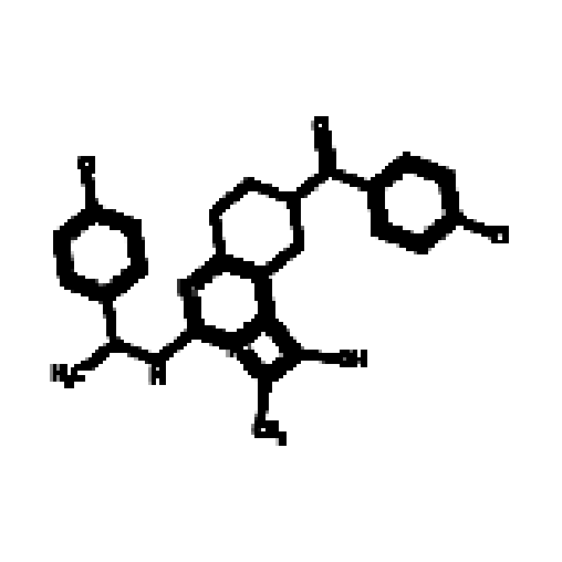 CC(Nc1nc2c(c3c(O)n(C)n13)CN(C(=O)c1ccc(Cl)cc1)CC2)c1ccc(Cl)cc1